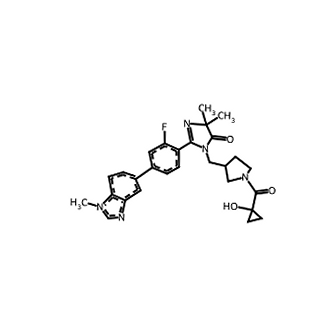 Cn1cnc2cc(-c3ccc(C4=NC(C)(C)C(=O)N4CC4CCN(C(=O)C5(O)CC5)C4)c(F)c3)ccc21